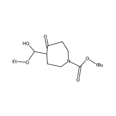 CCOC(O)C1CCN(C(=O)OC(C)(C)C)CCC1=O